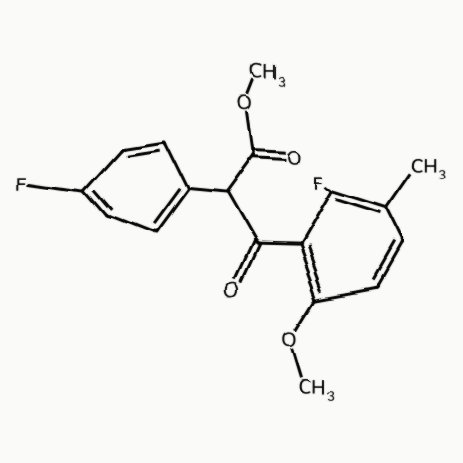 COC(=O)C(C(=O)c1c(OC)ccc(C)c1F)c1ccc(F)cc1